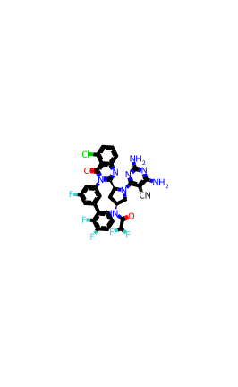 N#Cc1c(N)nc(N)nc1N1C[C@H](NC(=O)C(F)F)C[C@H]1c1nc2cccc(Cl)c2c(=O)n1-c1cc(F)cc(-c2cccc(F)c2F)c1